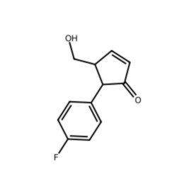 O=C1C=CC(CO)C1c1ccc(F)cc1